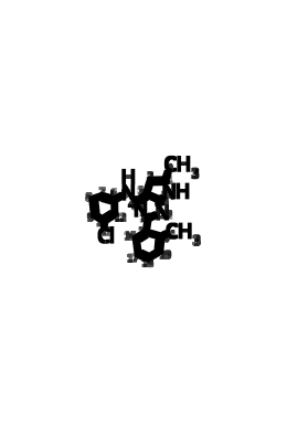 Cc1cc2c(Nc3cccc(Cl)c3)nc(-c3ccccc3C)nc2[nH]1